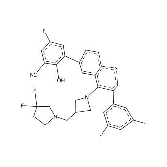 Cc1cc(F)cc(-c2cnc3ccc(-c4cc(F)cc(C#N)c4O)cc3c2N2CC(CN3CCC(F)(F)C3)C2)c1